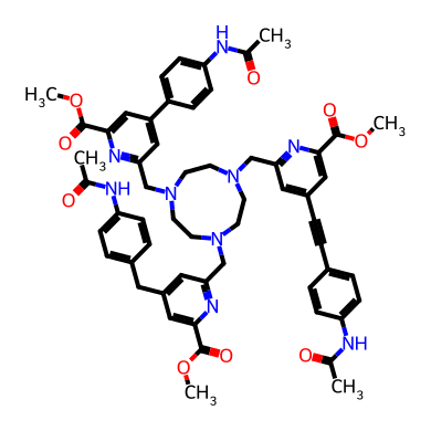 COC(=O)c1cc(C#Cc2ccc(NC(C)=O)cc2)cc(CN2CCN(Cc3cc(Cc4ccc(NC(C)=O)cc4)cc(C(=O)OC)n3)CCN(Cc3cc(-c4ccc(NC(C)=O)cc4)cc(C(=O)OC)n3)CC2)n1